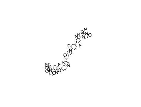 CCN(C)S(=O)(=O)Nc1ccc(F)c(Oc2ccc3ncc([C@H]4COC5(CCN(C6CCC(c7cc8c(cc7F)c(N7CCC(=O)NC7=O)nn8C)CC6F)CC5)C4)nc3c2)c1C#N